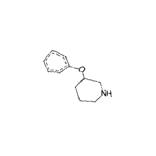 c1ccc(OC2CCCNC2)cc1